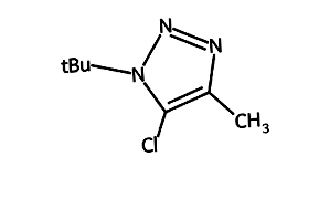 Cc1nnn(C(C)(C)C)c1Cl